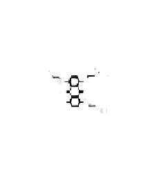 NCCNc1ccc(O)c2c1C(=O)c1c(NCCN)ccc(NCCN)c1C2=O